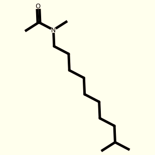 CC(=O)N(C)CCCCCCCCC(C)C